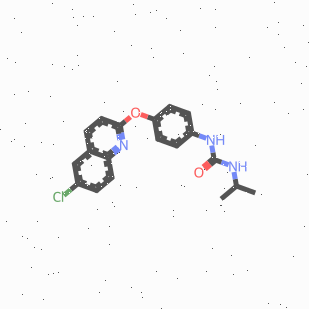 CC(C)NC(=O)Nc1ccc(Oc2ccc3cc(Cl)ccc3n2)cc1